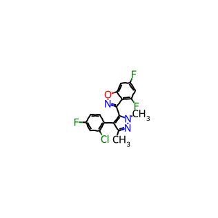 Cc1nn(C)c(-c2noc3cc(F)cc(F)c23)c1-c1ccc(F)cc1Cl